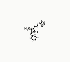 CC1C(CCCc2cccs2)C(=O)N1OC1CCCCO1